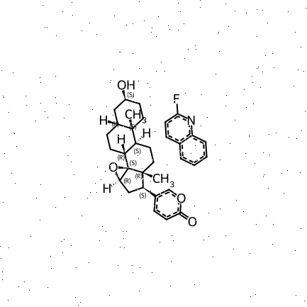 C[C@]12CC[C@H](O)C[C@H]1CC[C@@H]1[C@@H]2CC[C@]2(C)[C@@H](c3ccc(=O)oc3)C[C@H]3O[C@]132.Fc1ccc2ccccc2n1